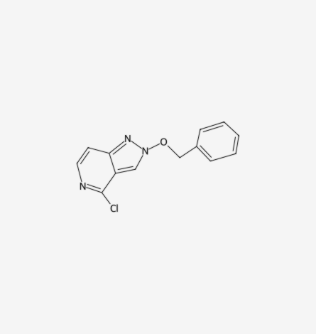 Clc1nccc2nn(OCc3ccccc3)cc12